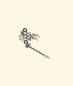 CCCCCCCCCCCCNS(=O)(=O)c1ccc(C)c(NC(=O)C(C2=Nc3ccccc3S(=O)(=O)N2C)N2C(=O)C(OC)N(C)C2=O)c1